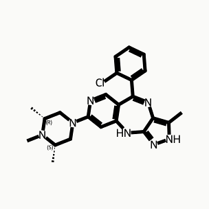 Cc1[nH]nc2c1N=C(c1ccccc1Cl)c1cnc(N3C[C@@H](C)N(C)[C@@H](C)C3)cc1N2